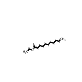 CCCCCCCCCCC(=S)OCC